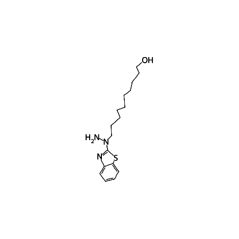 NN(CCCCCCCCCCO)c1nc2ccccc2s1